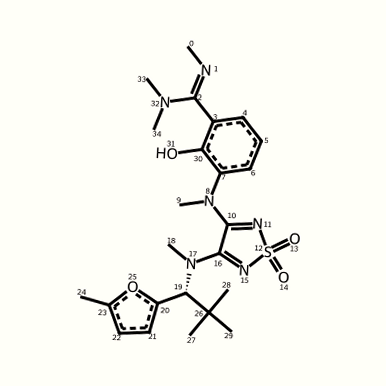 C/N=C(/c1cccc(N(C)C2=NS(=O)(=O)N=C2N(C)[C@@H](c2ccc(C)o2)C(C)(C)C)c1O)N(C)C